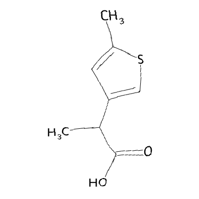 Cc1cc(C(C)C(=O)O)cs1